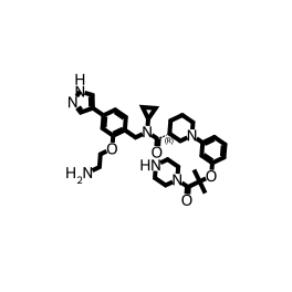 CC(C)(Oc1cccc(N2CCC[C@@H](C(=O)N(Cc3ccc(-c4cn[nH]c4)cc3OCCN)C3CC3)C2)c1)C(=O)N1CCNCC1